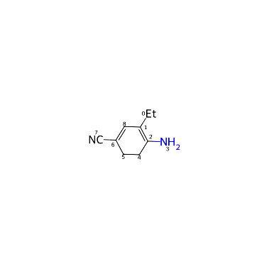 CCC1=C(N)CCC(C#N)=C1